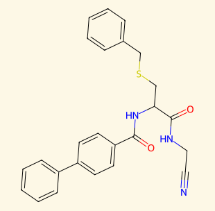 N#CCNC(=O)C(CSCc1ccccc1)NC(=O)c1ccc(-c2ccccc2)cc1